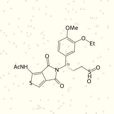 CCOc1cc([C@H](CC[SH](=O)=O)N2C(=O)c3csc(NC(C)=O)c3C2=O)ccc1OC